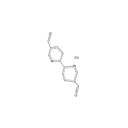 O=Cc1ccc(-c2ccc(C=O)cn2)nc1.[Co]